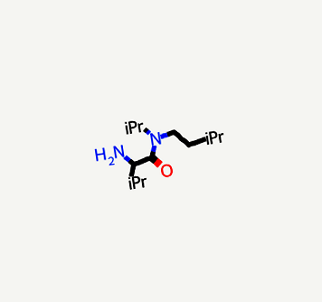 CC(C)CCN(C(=O)C(N)C(C)C)C(C)C